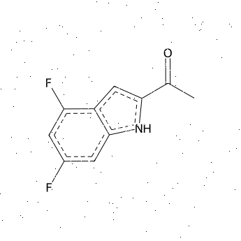 CC(=O)c1cc2c(F)cc(F)cc2[nH]1